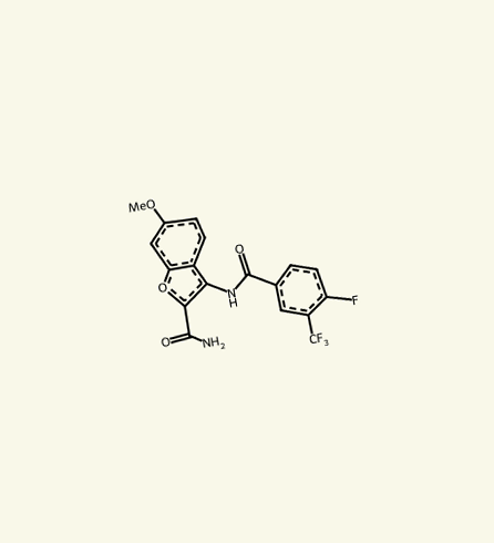 COc1ccc2c(NC(=O)c3ccc(F)c(C(F)(F)F)c3)c(C(N)=O)oc2c1